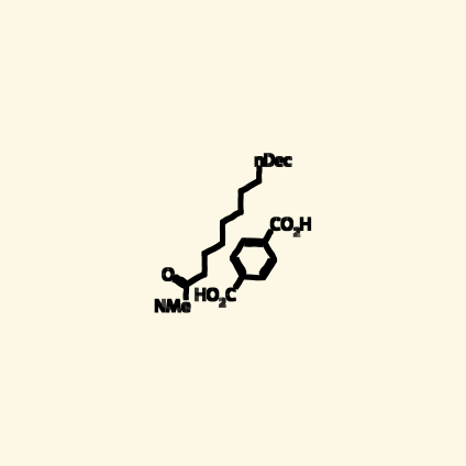 CCCCCCCCCCCCCCCCCC(=O)NC.O=C(O)c1ccc(C(=O)O)cc1